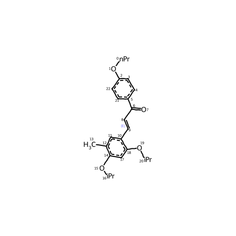 CCCOc1ccc(C(=O)/C=C/c2cc(C)c(OC(C)C)cc2OC(C)C)cc1